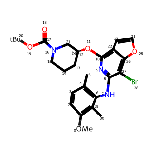 COc1ccc(C)c(Nc2nc(O[C@H]3CCCN(C(=O)OC(C)(C)C)C3)c3ccoc3c2Br)c1C